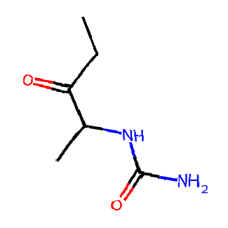 CCC(=O)C(C)NC(N)=O